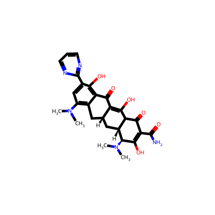 CN(C)c1cc(-c2ncccn2)c(O)c2c1C[C@H]1C[C@@H]3C(C(=O)C(C(N)=O)=C(O)[C@H]3N(C)C)C(O)=C1C2=O